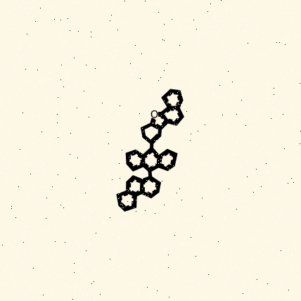 C1=C(c2c3ccccc3c(-c3cccc4c3ccc3ccccc34)c3ccccc23)CCc2oc3c(ccc4ccccc43)c21